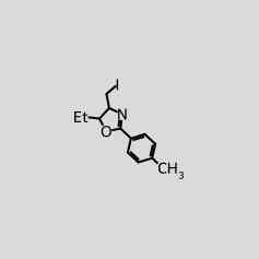 CCC1OC(c2ccc(C)cc2)=NC1CI